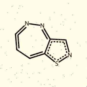 C1=CC=c2sncc2=NN=1